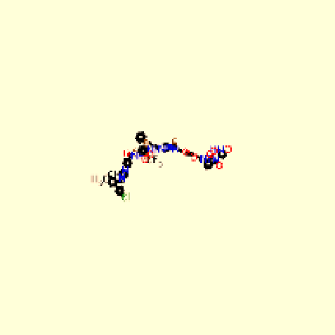 CC1(C)CCC(c2ccc(Cl)cc2)=C(CN2CCN(c3ccc(C(=O)NSc4ccc(N[C@H](CCN5CCN(C(=S)NCCOCCOCCNc6cccc7c6C(=O)N(C6CCC(=O)NC6=O)C7=O)CC5)CSc5ccccc5)c(S(=O)(=O)C(F)(F)F)c4)cc3)CC2)C1